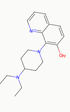 CCN(CC)C1CCN(c2c(O)ccc3cccnc23)CC1